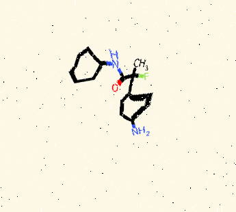 CC(F)(C(=O)NC1CCCCC1)c1ccc(N)cc1